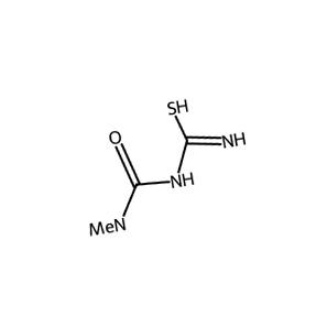 CNC(=O)NC(=N)S